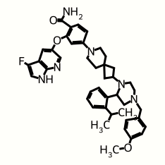 COc1ccc(CN2CCN(C3CC4(CCN(c5ccc(C(N)=O)c(Oc6cnc7[nH]cc(F)c7c6)c5)CC4)C3)C(c3ccccc3C(C)C)C2)cc1